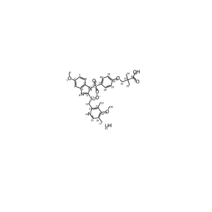 COc1ccc2c(c1)nc([S+]([O-])Cc1ncc(C)c(OC)c1C)n2S(=O)(=O)c1ccc(OCC(C)(C)C(=O)O)cc1.[LiH]